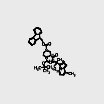 Cc1cccn2c(C(C)(C)NC(=O)[C@@H]3CN(C(=O)OCC4c5ccccc5-c5ccccc54)CCN3C(=O)OC(C)(C)C)ncc12